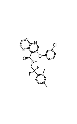 Cc1ccc(C(F)(F)CNC(=O)c2c(Oc3cccc(Cl)c3)cnc3nccnc23)c(C)c1